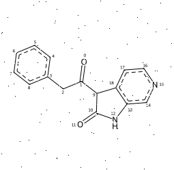 O=C(Cc1ccccc1)C1C(=O)Nc2cnccc21